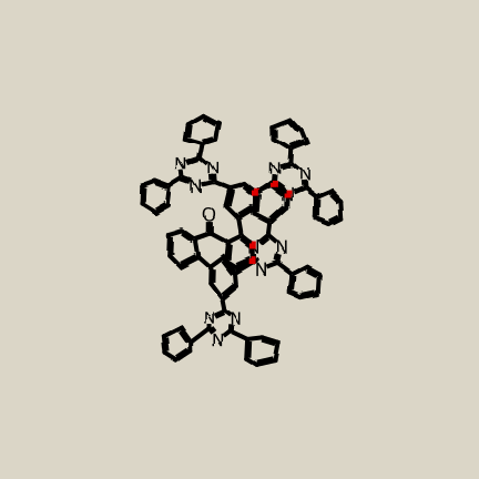 O=C(c1ccccc1-c1cc(-c2nc(-c3ccccc3)nc(-c3ccccc3)n2)cc(-c2nc(-c3ccccc3)nc(-c3ccccc3)n2)c1)c1ccccc1-c1cc(-c2nc(-c3ccccc3)nc(-c3ccccc3)n2)cc(-c2nc(-c3ccccc3)nc(-c3ccccc3)n2)c1